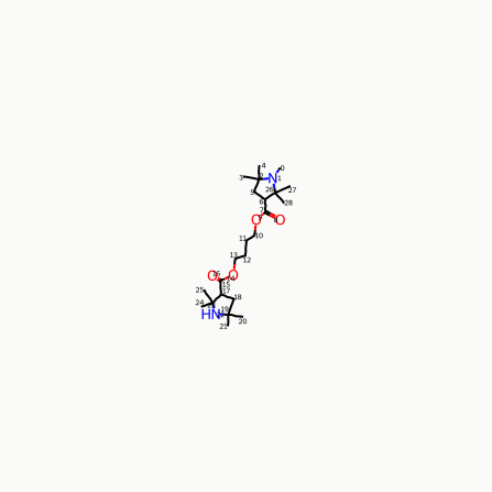 CN1C(C)(C)CC(C(=O)OCCCCOC(=O)C2CC(C)(C)NC2(C)C)C1(C)C